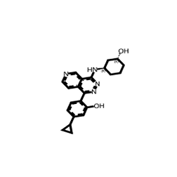 Oc1cc(C2CC2)ccc1-c1nnc(N[C@@H]2CCC[C@@H](O)C2)c2cnccc12